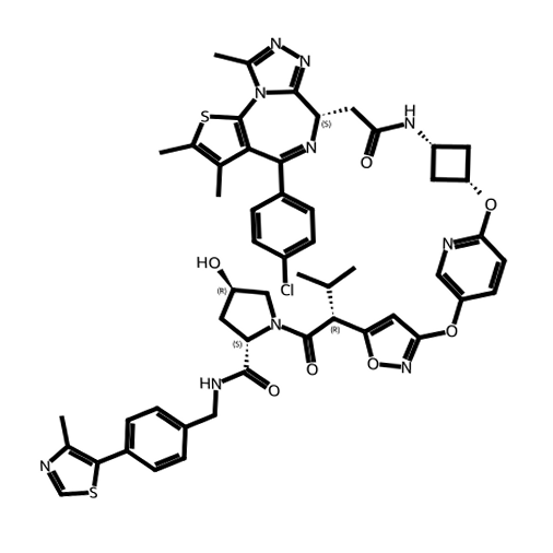 Cc1ncsc1-c1ccc(CNC(=O)[C@@H]2C[C@@H](O)CN2C(=O)[C@@H](c2cc(Oc3ccc(O[C@H]4C[C@@H](NC(=O)C[C@@H]5N=C(c6ccc(Cl)cc6)c6c(sc(C)c6C)-n6c(C)nnc65)C4)nc3)no2)C(C)C)cc1